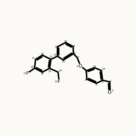 O=Cc1ccc(OCc2cccc(-c3ccc(F)cc3CF)c2)cc1